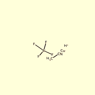 CC#N.F[B-](F)(F)F.[Cu].[H+]